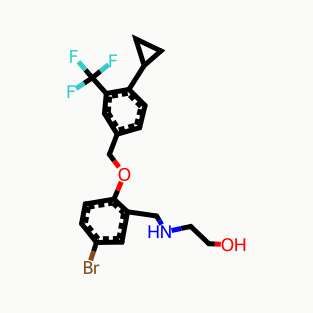 OCCNCc1cc(Br)ccc1OCc1ccc(C2CC2)c(C(F)(F)F)c1